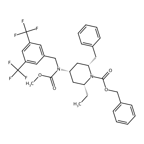 CC[C@@H]1C[C@H](N(Cc2cc(C(F)(F)F)cc(C(F)(F)F)c2)C(=O)OC)C[C@H](Cc2ccccc2)N1C(=O)OCc1ccccc1